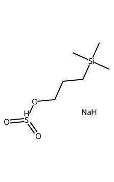 C[Si](C)(C)CCCO[SH](=O)=O.[NaH]